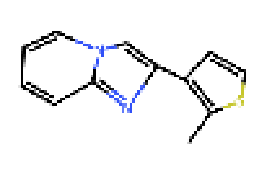 Cc1sccc1-c1cn2ccccc2n1